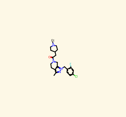 CCN1CCC(CC(=O)N2CCc3c(C)nn(Cc4ccc(Cl)cc4F)c3C2)CC1